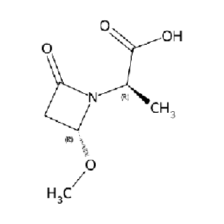 CO[C@@H]1CC(=O)N1[C@H](C)C(=O)O